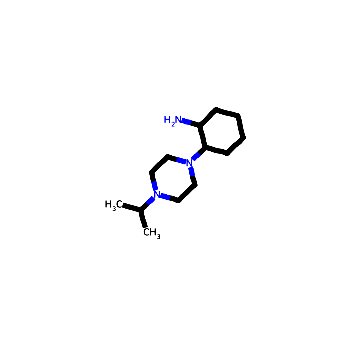 CC(C)N1CCN(C2CCCCC2N)CC1